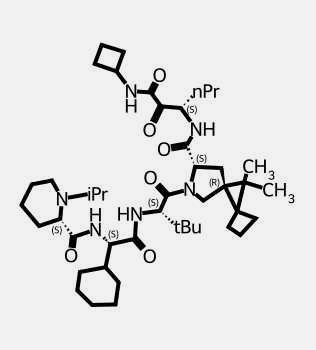 CCC[C@H](NC(=O)[C@@H]1C[C@@]2(CN1C(=O)[C@@H](NC(=O)[C@@H](NC(=O)[C@@H]1CCCCN1C(C)C)C1CCCCC1)C(C)(C)C)C(C)(C)C21CCC1)C(=O)C(=O)NC1CCC1